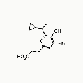 CC(C)c1cc(CCC(=O)O)cc(C(C)C2CC2)c1O